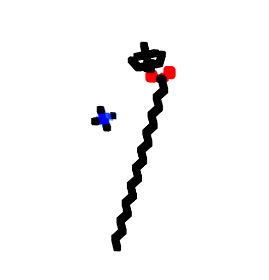 CCCCCCCCCCCCCCCCCCCC(=O)O[Si](CC)(CC)C(C)(C)C.C[N+](C)(C)C